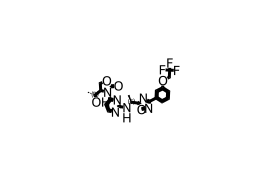 C[C@H](Nc1nccc(N2C(=O)OCC2[C@@H](C)O)n1)c1nc(-c2cccc(OCC(F)(F)F)c2)no1